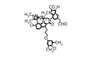 Cc1cc(OCCCc2c3n(c4c(-c5c(C)nn(C)c5C)c(Cl)ccc24)[C@H](C)CN(c2cc(CC=O)cc4cc(C(=O)O)n(C)c24)C3=O)cc(C)c1Cl